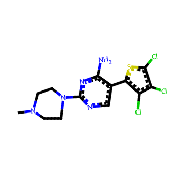 CN1CCN(c2ncc(-c3sc(Cl)c(Cl)c3Cl)c(N)n2)CC1